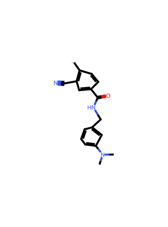 [CH2]c1ccc(C(=O)NCc2cccc(N(C)C)c2)cc1C#N